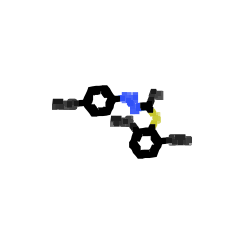 COc1ccc(N/N=C(/Sc2c(SC)cccc2SC)C(C)=O)cc1